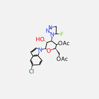 CC(=O)OC[C@H]1O[C@@H](n2ccc3cc(Cl)ccc32)[C@H](O)[C@@H](N2N=NCC2F)[C@H]1OC(C)=O